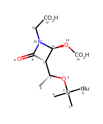 C[C@@H](O[Si](C)(C)C(C)(C)C)[C@@H]1C(=O)N(CC(=O)O)[C@H]1OC(=O)O